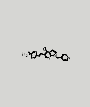 Nc1cnc(/C=C/c2cnc3c(ccn3Cc3ccncc3)c2Cl)cn1